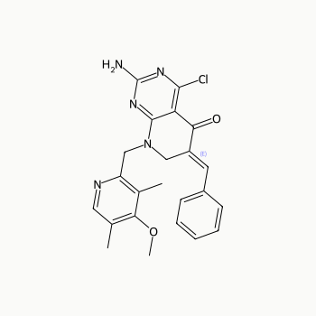 COc1c(C)cnc(CN2C/C(=C\c3ccccc3)C(=O)c3c(Cl)nc(N)nc32)c1C